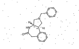 O=C1Cc2ccccc2[C@@H]2CN(Cc3ccccc3)C[C@H]2N1